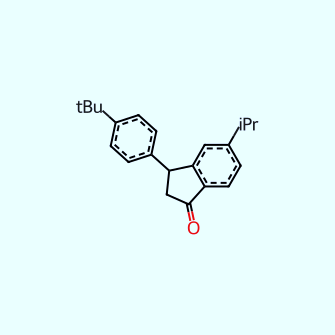 CC(C)c1ccc2c(c1)C(c1ccc(C(C)(C)C)cc1)CC2=O